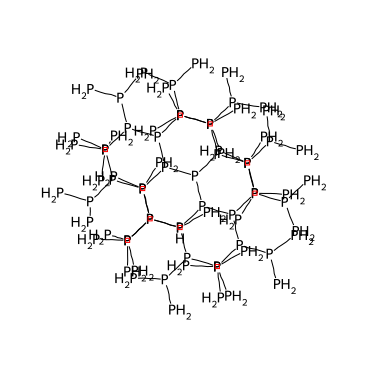 PPP(P(P)P)P(P(P(P)P)P(P)P)P(P(P(P(P)P)P(P)P)P(P(P)P)P(P)P)P(P(P(P(P)P)P(P)P)P(P(P)P)P(P)P)P(P(P(P(P)P)P(P)P)P(P(P)P)P(P)P)P(P(P(P)P)P(P)P)P(P(P)P)P(P)P